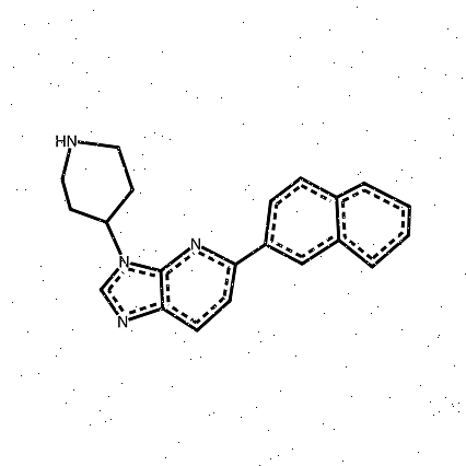 c1ccc2cc(-c3ccc4ncn(C5CCNCC5)c4n3)ccc2c1